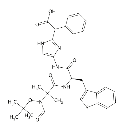 CC(C)(C)ON(C=O)C(C)(C)C(=O)N[C@H](Cc1csc2ccccc12)C(=O)Nc1c[nH]c(C(C(=O)O)c2ccccc2)n1